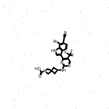 N#Cc1ccc2c(-c3nc(NC4CC5(C4)CN(C(=O)O)C5)ncc3C(F)(F)F)c[nH]c2c1Br